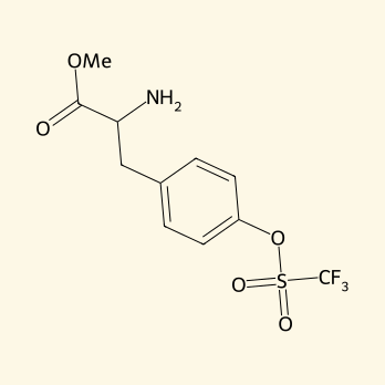 COC(=O)C(N)Cc1ccc(OS(=O)(=O)C(F)(F)F)cc1